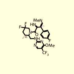 CN/C=C(\C(=N)C(=O)N1CC(F)(F)C[C@@H](C)C1CNc1ncc(C(F)(F)F)c(OC)n1)c1ccc(F)cc1